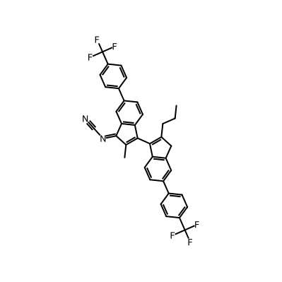 CCCC1=C(C2=C(C)/C(=N/C#N)c3cc(-c4ccc(C(F)(F)F)cc4)ccc32)c2ccc(-c3ccc(C(F)(F)F)cc3)cc2C1